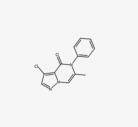 Cc1cn2ncc(Cl)c2c(=O)n1-c1ccccc1